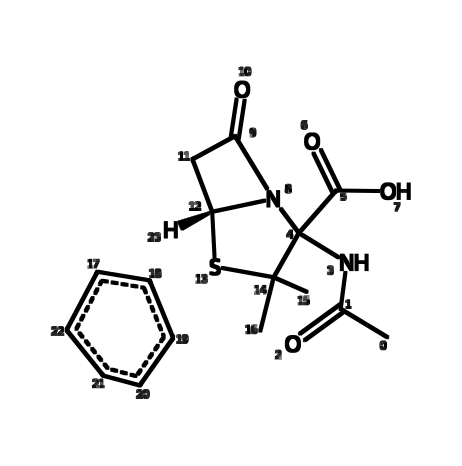 CC(=O)NC1(C(=O)O)N2C(=O)C[C@H]2SC1(C)C.c1ccccc1